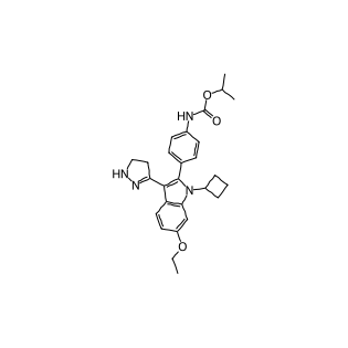 CCOc1ccc2c(C3=NNCC3)c(-c3ccc(NC(=O)OC(C)C)cc3)n(C3CCC3)c2c1